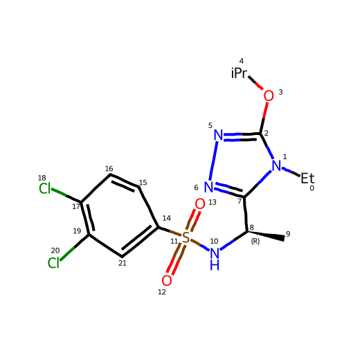 CCn1c(OC(C)C)nnc1[C@@H](C)NS(=O)(=O)c1ccc(Cl)c(Cl)c1